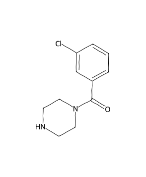 O=C(c1cccc(Cl)c1)N1CCNCC1